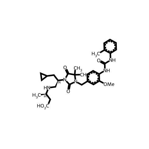 COc1cc(CN2C(=O)N([C@@H](CN[C@H](C)CC(=O)O)CC3CC3)C(=O)C2(C)C)ccc1NC(=O)Nc1ccccc1C